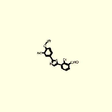 CCc1c(C=O)cccc1-c1cnc(-c2ccc(OC(C)C)c(C#N)c2)s1